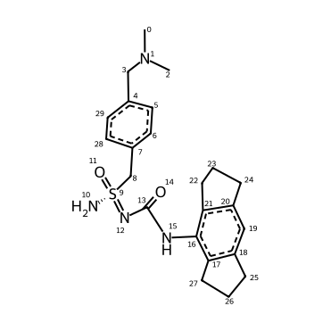 CN(C)Cc1ccc(C[S@](N)(=O)=NC(=O)Nc2c3c(cc4c2CCC4)CCC3)cc1